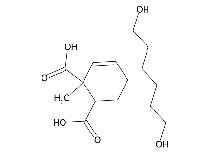 CC1(C(=O)O)C=CCCC1C(=O)O.OCCCCCCO